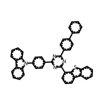 c1ccc(-c2ccc(-c3nc(-c4ccc(-n5c6ccccc6c6ccccc65)cc4)nc(-c4cccc5c4sc4ccccc45)n3)cc2)cc1